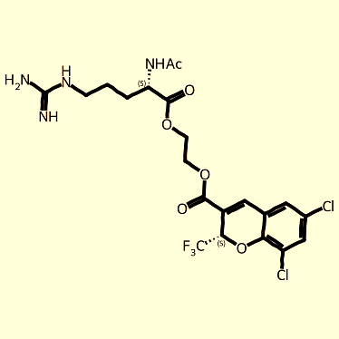 CC(=O)N[C@@H](CCCNC(=N)N)C(=O)OCCOC(=O)C1=Cc2cc(Cl)cc(Cl)c2O[C@@H]1C(F)(F)F